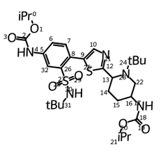 CC(C)OC(=O)Nc1ccc(-c2cnc(C3CCC(NC(=O)OC(C)C)CN3C(C)(C)C)s2)c(S(=O)(=O)NC(C)(C)C)c1